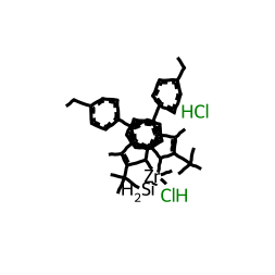 CCc1ccc(-c2cccc3c2C(C)=C(C(C)(C)C)[CH]3[Zr]([CH3])([CH3])(=[SiH2])[CH]2C(C(C)(C)C)=C(C)c3c(-c4ccc(CC)cc4)cccc32)cc1.Cl.Cl